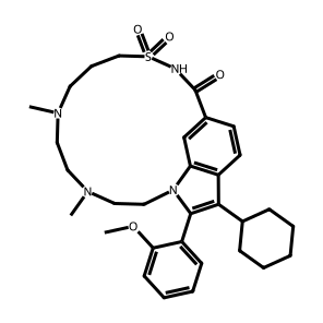 COc1ccccc1-c1c(C2CCCCC2)c2ccc3cc2n1CCN(C)CCN(C)CCCS(=O)(=O)NC3=O